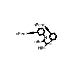 CCCCCC#Cc1cccc(N=C(CC)C(CCCC)=Nc2cccc(C#CCCCCC)c2)c1.[Ni]